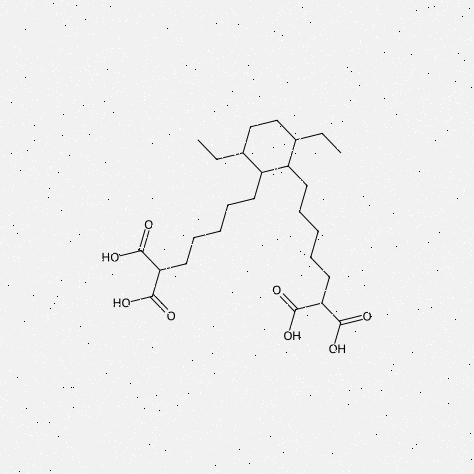 CCC1CCC(CC)C(CCCCCC(C(=O)O)C(=O)O)C1CCCCCC(C(=O)O)C(=O)O